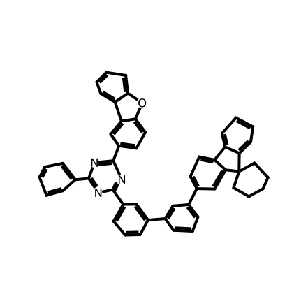 c1ccc(-c2nc(-c3cccc(-c4cccc(-c5ccc6c(c5)C5(CCCCC5)c5ccccc5-6)c4)c3)nc(-c3ccc4oc5ccccc5c4c3)n2)cc1